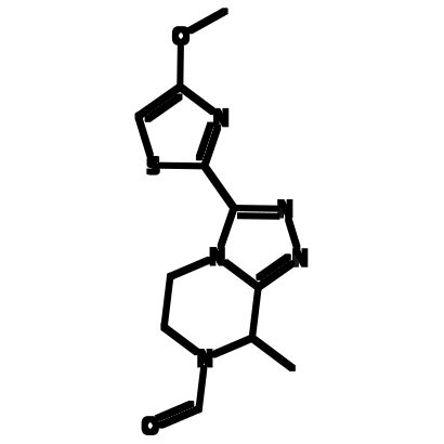 COc1csc(-c2nnc3n2CCN(C=O)C3C)n1